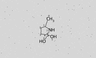 CC1CCS(O)(O)N1